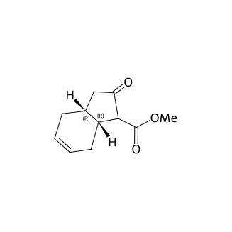 COC(=O)C1C(=O)C[C@H]2CC=CC[C@@H]12